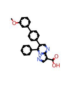 COc1cccc(-c2ccc(-c3cnc4c(C(=O)O)cnn4c3-c3ccccc3)cc2)c1